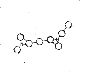 C1=CCC(N2C3=CCC(C4=CCC(c5ccc6c(c5)c5c(n6C6=CC=C(C7C=CCCC7)CC6)C=CCC5)CC4)CC3C3C=CCCC32)C=C1